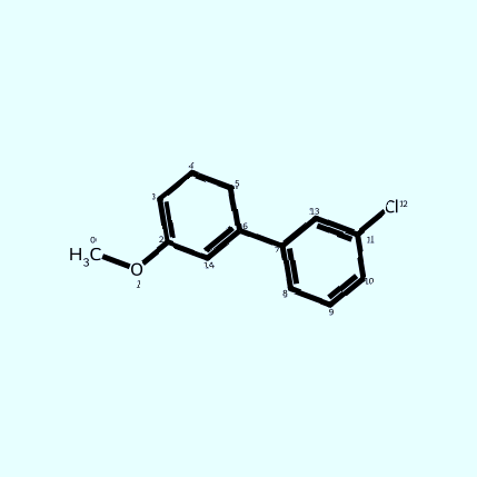 COC1=CC[CH]C(c2cccc(Cl)c2)=C1